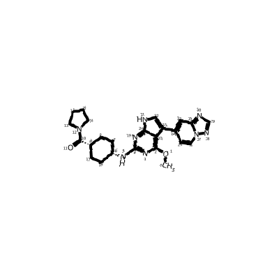 COc1nc(N[C@H]2CC[C@@H](C(=O)N3CCCC3)CC2)nc2[nH]cc(-c3ccn4ncnc4c3)c12